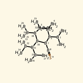 BB(B)B(B(B)B)B(B=S)B(B(B(B)B)B(B)B)B(B(B)B)B(B)B